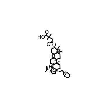 C=C(C)[C@@H]1CC[C@]2(CCN3CCCC3)CC[C@]3(C)[C@H](CC[C@@H]4[C@@]5(C)CC[C@H](OC(=O)CC(C)(C)C(=O)O)C(C)(C)[C@@H]5CC[C@]43C)[C@@H]12